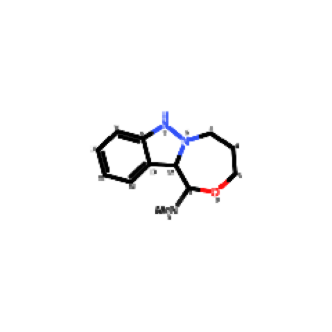 CNC1OCCCN2Nc3ccccc3C12